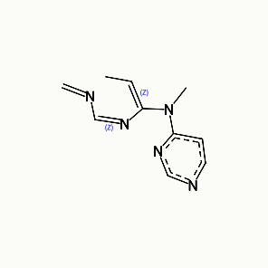 C=N/C=N\C(=C/C)N(C)c1ccncn1